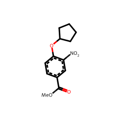 COC(=O)c1ccc(OC2CCCC2)c([N+](=O)[O-])c1